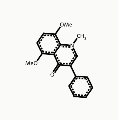 COc1ccc(OC)c2c1c(=O)c(-c1ccccc1)cn2C